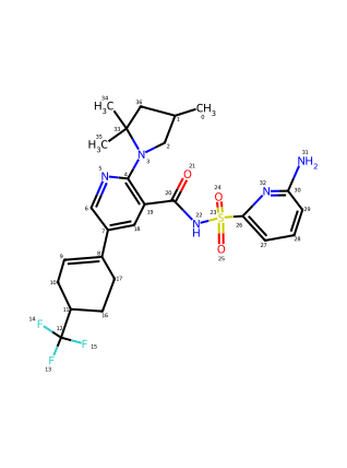 CC1CN(c2ncc(C3=CCC(C(F)(F)F)CC3)cc2C(=O)NS(=O)(=O)c2cccc(N)n2)C(C)(C)C1